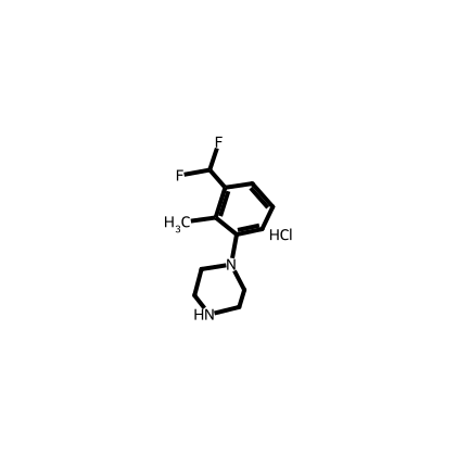 Cc1c(C(F)F)cccc1N1CCNCC1.Cl